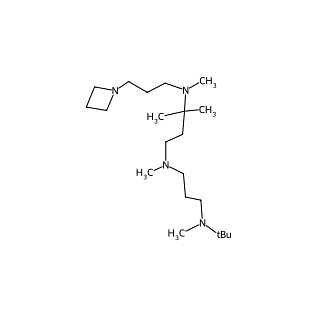 CN(CCCN(C)C(C)(C)C)CCC(C)(C)N(C)CCCN1CCC1